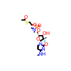 CNc1ccn([C@@H]2O[C@H](COP(=O)(OCCSC(C)=O)N(C)C)C(O)[C@]2(C)F)c(=O)n1